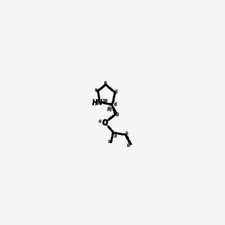 CCC(C)OC[C@@H]1CCCN1